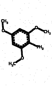 COc1cc(OC)c(P)c(OC)c1